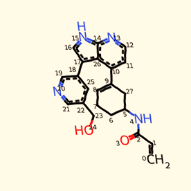 C=CC(=O)NC1CCC=C(c2ccnc3[nH]cc(-c4cncc(CO)c4)c23)C1